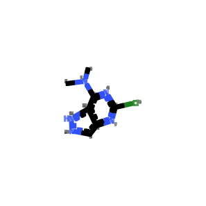 CN(C)c1nc(Cl)nc2cn[nH]c12